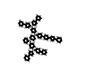 c1ccc(-c2ccc(-c3ccc(-c4ccc(N(c5ccc(N(c6ccc(-c7ccccc7)cc6)c6ccc(-c7ccccc7)cc6)cc5)c5ccc(N(c6ccccc6)c6ccc(N(c7ccc(-c8ccccc8)cc7)c7ccc(-c8ccccc8)cc7)cc6)cc5)cc4)cc3)cc2)cc1